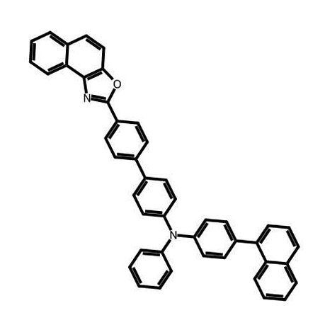 c1ccc(N(c2ccc(-c3ccc(-c4nc5c(ccc6ccccc65)o4)cc3)cc2)c2ccc(-c3cccc4ccccc34)cc2)cc1